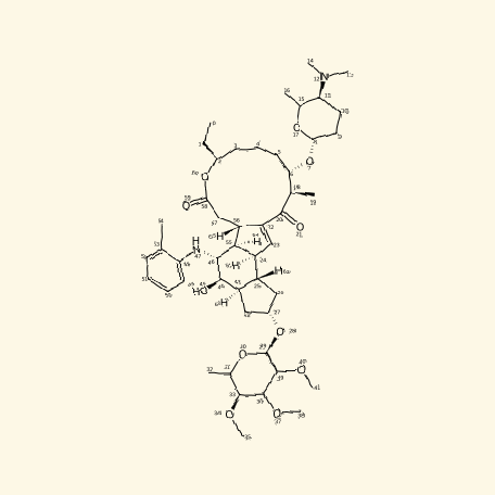 CC[C@H]1CCC[C@H](O[C@H]2CC[C@H](N(C)C)C(C)O2)[C@@H](C)C(=O)C2=C[C@H]3[C@@H]4C[C@H](O[C@@H]5OC(C)[C@H](OC)C(OC)C5OC)C[C@H]4[C@@H](O)[C@H](Nc4ccccc4C)[C@H]3[C@@H]2CC(=O)O1